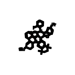 Cc1cc2c3c(c1)N(c1ccccc1F)c1c(oc4ccc(C(C)C)cc14)B3c1cc3c(cc1N2C1=CCC(C(C)(C)C)C=C1C1C#CC=CC1)C(C)(C)CCC3(C)C